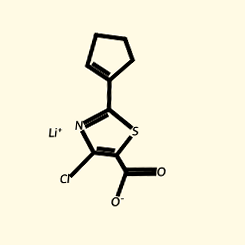 O=C([O-])c1sc(C2=CCCC2)nc1Cl.[Li+]